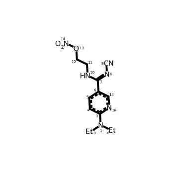 CCN(CC)c1ccc(C(=NC#N)NCCO[N+](=O)[O-])cn1